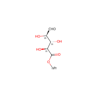 CCCOC(=O)[C@@H](O)[C@@H](O)[C@@H](O)C=O